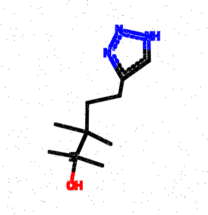 CC(C)(CCc1c[nH]nn1)[Si](C)(C)O